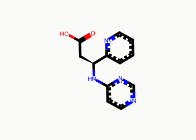 O=C(O)C[C@H](Nc1ccncn1)c1ccccn1